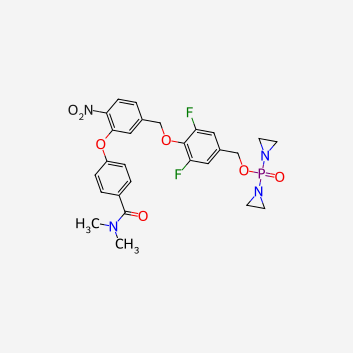 CN(C)C(=O)c1ccc(Oc2cc(COc3c(F)cc(COP(=O)(N4CC4)N4CC4)cc3F)ccc2[N+](=O)[O-])cc1